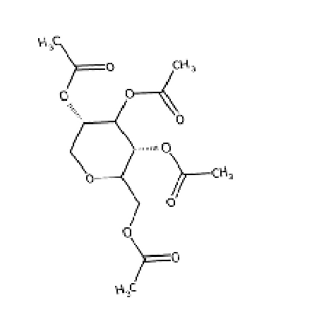 CC(=O)OCC1OC[C@H](OC(C)=O)C(OC(C)=O)[C@@H]1OC(C)=O